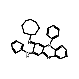 c1ccc(Nc2cc3nc4ccccc4n(-c4ccccc4)c-3cc2=NC2CCCCCCC2)cc1